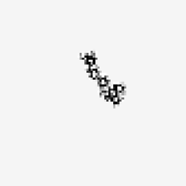 O=C(NS(=O)(=O)c1cccnc1N1CCCCC1)[C@H]1CC[C@H](N2CCC(Oc3ccc(Cl)c(Cl)c3)CC2)CC1